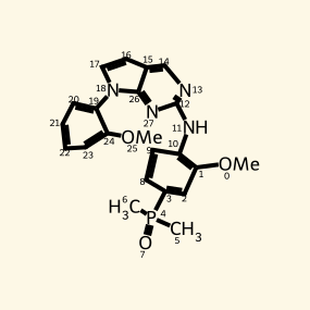 COc1cc(P(C)(C)=O)ccc1Nc1ncc2ccn(-c3ccccc3OC)c2n1